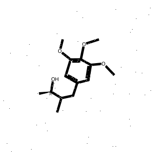 [CH2][C@@H](O)C(C)Cc1cc(OC)c(OC)c(OC)c1